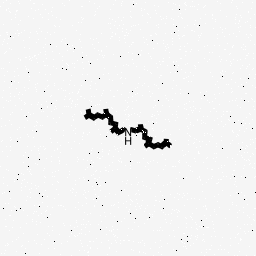 CC(C)=CCCC(C)=CCCC(C)=CCNCC=C(C)CCC=C(C)CCC=C(C)C